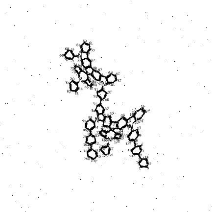 c1ccc(-c2ccc(-c3ccc(-n4c5ccccc5c5cc6c(cc54)C4(c5cc7c(cc5-6)c5cc(-c6ccc(-n8c9ccccc9c9cc%10c(cc98)C8(c9cc%11c(cc9-%10)c9ccccc9n%11-c9ccccc9)c9ccccc9N(c9ccccc9)c9ccccc98)cc6)ccc5n7-c5cccc(-c6ccc(-c7ccccc7)cc6)c5)c5ccccc5N(c5ccccc5)c5ccccc54)cc3)cc2)cc1